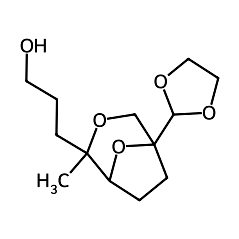 CC1(CCCO)OCC2(C3OCCO3)CCC1O2